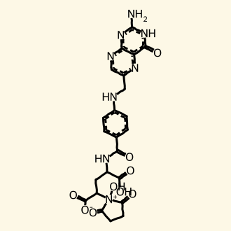 Nc1nc2ncc(CNc3ccc(C(=O)NC(CC(C(=O)[O-])[N+]4(O)C(=O)CCC4=O)C(=O)O)cc3)nc2c(=O)[nH]1